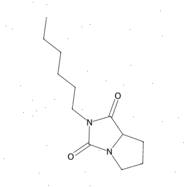 CCCCCCN1C(=O)C2CCCN2C1=O